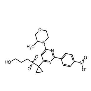 C[C@H]1COCCN1c1cc(C2(S(=O)(=O)CCCO)CC2)nc(-c2ccc([N+](=O)[O-])cc2)n1